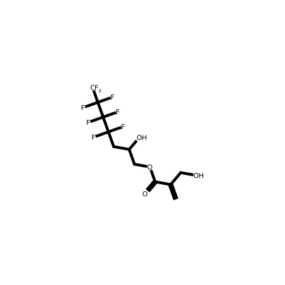 C=C(CO)C(=O)OCC(O)CC(F)(F)C(F)(F)C(F)(F)C(F)(F)F